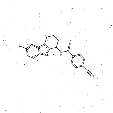 C#Cc1ccc(C(=O)NC2CCCc3c2[nH]c2ccc(Br)cc32)cc1